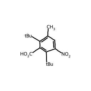 Cc1cc([N+](=O)[O-])c(C(C)(C)C)c(C(=O)O)c1C(C)(C)C